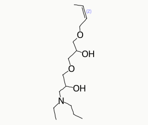 C/C=C\COCC(O)COCC(O)CN(CC)CCC